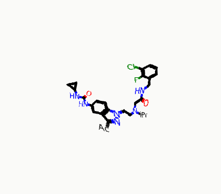 CC(=O)c1nn(CCN(CC(=O)NCc2cccc(Cl)c2F)C(C)C)c2ccc(NC(=O)NC3CC3)cc12